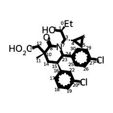 CC[C@H](O)[C@H](C1CC1)N1C(=O)[C@@](C)(CC(=O)O)C[C@H](c2cccc(Cl)c2)C1c1ccc(Cl)cc1